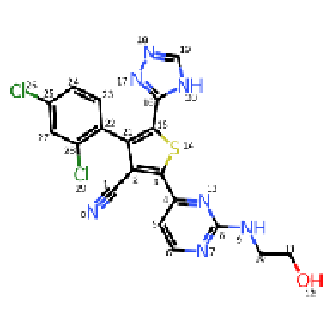 N#Cc1c(-c2ccnc(NCCO)n2)sc(-c2nnc[nH]2)c1-c1ccc(Cl)cc1Cl